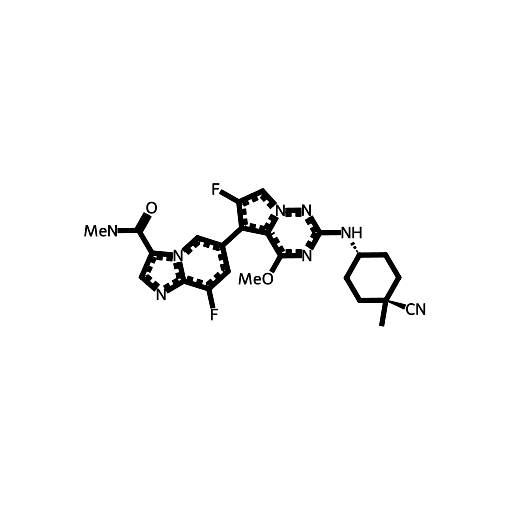 CNC(=O)c1cnc2c(F)cc(-c3c(F)cn4nc(N[C@H]5CC[C@](C)(C#N)CC5)nc(OC)c34)cn12